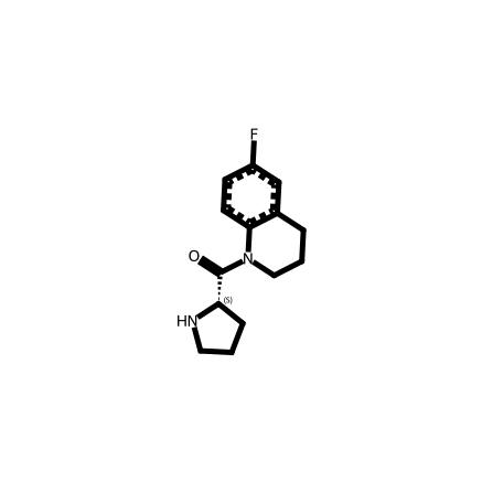 O=C([C@@H]1CCCN1)N1CCCc2cc(F)ccc21